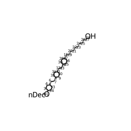 CCCCCCCCCCOc1ccc(C=Cc2ccc(C=Cc3ccc(CCCCCCCCCCO)cc3)cc2)cc1